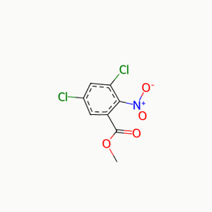 COC(=O)c1cc(Cl)cc(Cl)c1[N+](=O)[O-]